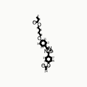 C=CC(=O)OCCCCOc1ccc(-c2noc(-c3ccc(OC(C)=O)cc3)n2)cc1